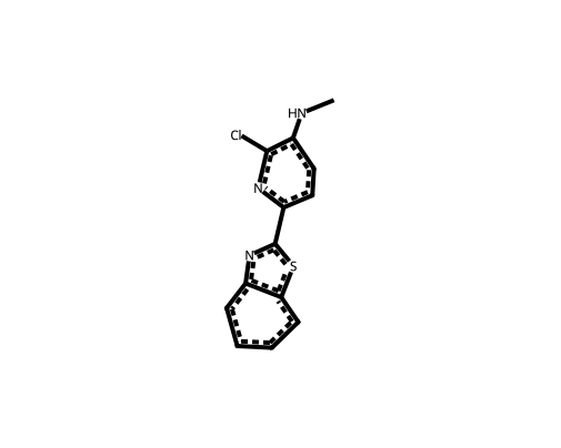 CNc1ccc(-c2nc3ccccc3s2)nc1Cl